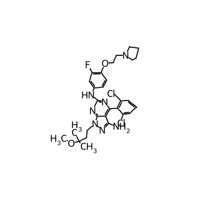 COC(C)(C)CCn1nc(N)c2c(-c3c(Cl)cccc3Cl)nc(Nc3ccc(OCCN4CCCC4)c(F)c3)nc21